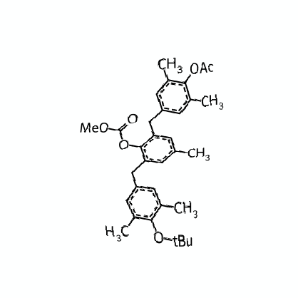 COC(=O)Oc1c(Cc2cc(C)c(OC(C)=O)c(C)c2)cc(C)cc1Cc1cc(C)c(OC(C)(C)C)c(C)c1